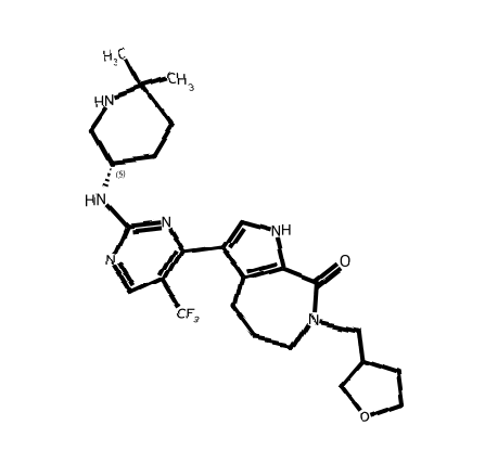 CC1(C)CC[C@H](Nc2ncc(C(F)(F)F)c(-c3c[nH]c4c3CCCN(CC3CCOC3)C4=O)n2)CN1